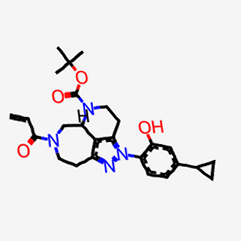 C=CC(=O)N1CCc2nn(-c3ccc(C4CC4)cc3O)c3c2[C@H](C1)N(C(=O)OC(C)(C)C)CC3